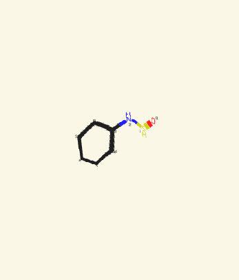 O=[SH]NC1CCCCC1